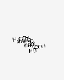 COc1ccc2cc(-c3cc(O)cc(O)c3)oc2c1C/C=C(\C)CCC=C(C)C